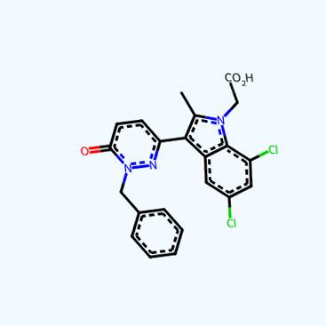 Cc1c(-c2ccc(=O)n(Cc3ccccc3)n2)c2cc(Cl)cc(Cl)c2n1CC(=O)O